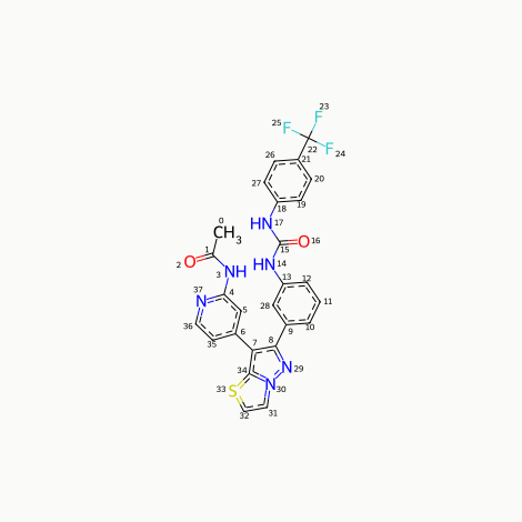 CC(=O)Nc1cc(-c2c(-c3cccc(NC(=O)Nc4ccc(C(F)(F)F)cc4)c3)nn3ccsc23)ccn1